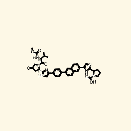 COC(=O)N[C@H](C(=O)N1CC(=O)C[C@H]1c1nc(-c2ccc(-c3ccc4cc(-c5cnc(C6CCCN6C(=O)O)[nH]5)ccc4c3)cc2)c[nH]1)C(C)C